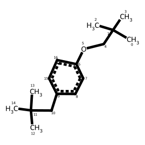 CC(C)(C)COc1ccc(CC(C)(C)C)cc1